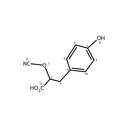 N#COC(Cc1ccc(O)cc1)C(=O)O